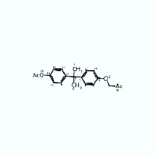 CC(=O)COc1ccc(C(C)(C)c2ccc(OC(C)=O)cc2)cc1